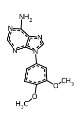 COc1ccc(-n2cnc3c(N)ncnc32)cc1OC